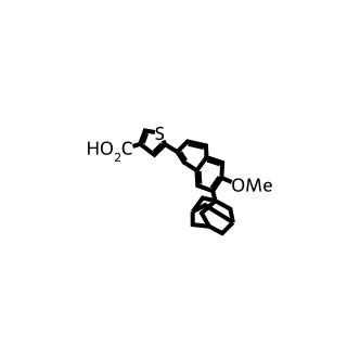 COc1cc2ccc(-c3cc(C(=O)O)cs3)cc2cc1C12CC3CC(CC(C3)C1)C2